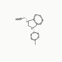 CNC[C@H]1C[C@@H](c2ccc(C)cc2)c2ccccc21